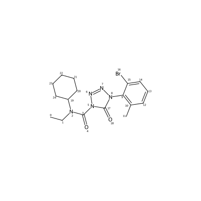 CCN(C(=O)n1nnn(-c2c(C)cccc2Br)c1=O)C1CCCCC1